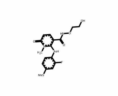 CSc1ccc([AsH]c2c(C(=O)NOCCO)ccc(=O)n2C)c(F)c1